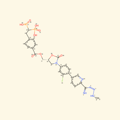 CN/N=N\C(=N)c1ccc(-c2ccc(N3C[C@H](COC(=O)c4ccc(CC([PH](=O)O)P(=O)(O)O)cc4)OC3=O)cc2F)cn1